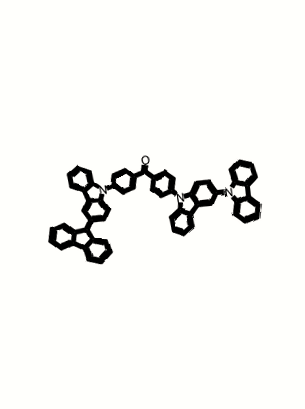 O=C(c1ccc(-n2c3ccccc3c3cc(C4c5ccccc5-c5ccccc54)ccc32)cc1)c1ccc(-n2c3ccccc3c3cc(-n4c5ccccc5c5ccccc54)ccc32)cc1